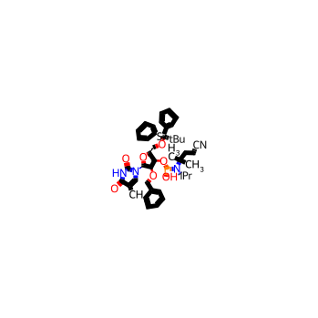 Cc1cn([C@@H]2O[C@H](CO[Si](c3ccccc3)(c3ccccc3)C(C)(C)C)[C@@H](OP(O)N(C(C)C)C(C)(C)CCC#N)[C@H]2OCc2ccccc2)c(=O)[nH]c1=O